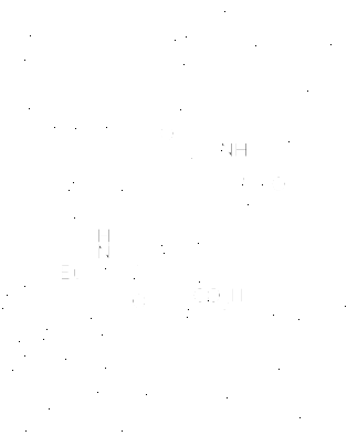 CCNC(=O)c1cc2c(cc1C(=O)O)C(=O)NC2=O